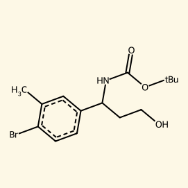 Cc1cc(C(CCO)NC(=O)OC(C)(C)C)ccc1Br